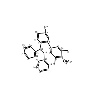 COc1c(C)cc(-c2cc(F)ccc2C(Cc2cccnc2)c2cccnc2)cc1C